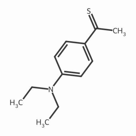 CCN(CC)c1ccc(C(C)=S)cc1